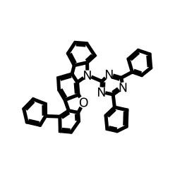 c1ccc(-c2nc(-c3ccccc3)nc(-n3c4ccccc4c4ccc5c(oc6cccc(-c7ccccc7)c65)c43)n2)cc1